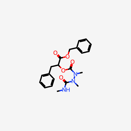 CNC(=O)N(C)N(C)C(=O)OC(Cc1ccccc1)C(=O)OCc1ccccc1